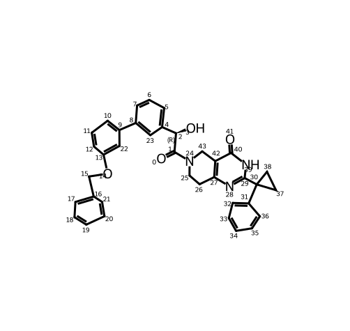 O=C([C@H](O)c1cccc(-c2cccc(OCc3ccccc3)c2)c1)N1CCc2nc(C3(c4ccccc4)CC3)[nH]c(=O)c2C1